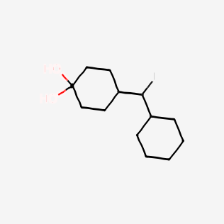 CCC(C1CCCCC1)C1CCC(O)(O)CC1